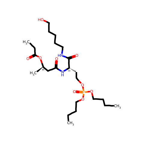 CCCCOP(=O)(OCCCC)OCC[C@H](NC(=O)C[C@@H](C)OC(=O)CC)C(=O)NCCCCCO